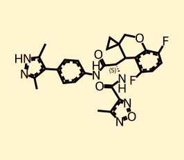 Cc1nonc1C(=O)N[C@H](C(=O)Nc1ccc(-c2c(C)n[nH]c2C)cc1)C1c2c(F)ccc(F)c2OCC12CC2